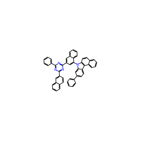 c1ccc(-c2ccc3c4c5ccccc5ccc4n(-c4cc(-c5nc(-c6ccccc6)nc(-c6ccc7ccccc7c6)n5)cc5ccccc45)c3c2)cc1